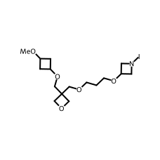 COC1CC(OCC2(COCCCOC3CN(I)C3)COC2)C1